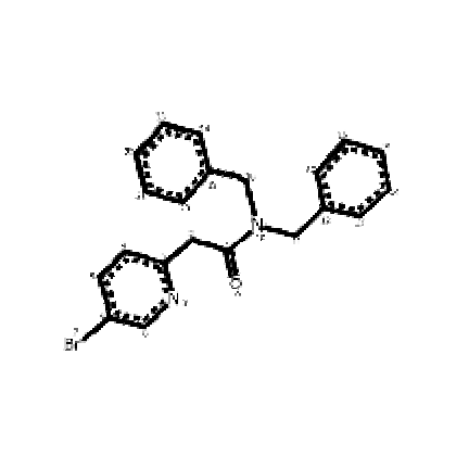 O=C(Cc1ccc(Br)cn1)N(Cc1ccccc1)Cc1ccccc1